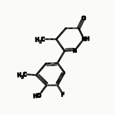 Cc1cc(C2=NNC(=O)CC2C)cc(F)c1O